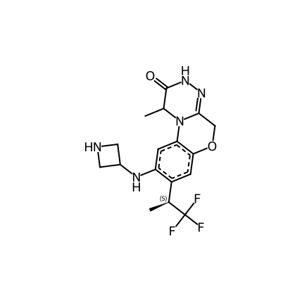 CC1C(=O)NN=C2COc3cc([C@H](C)C(F)(F)F)c(NC4CNC4)cc3N21